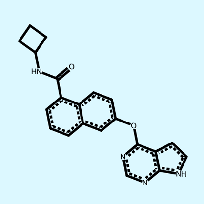 O=C(NC1CCC1)c1cccc2cc(Oc3ncnc4[nH]ccc34)ccc12